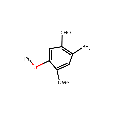 Bc1cc(OC)c(OC(C)C)cc1C=O